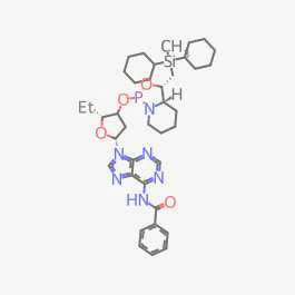 CC[C@H]1O[C@@H](n2cnc3c(NC(=O)c4ccccc4)ncnc32)CC1OP1O[C@H](C[Si](C)(C2CCCCC2)C2CCCCC2)[C@@H]2CCCCN21